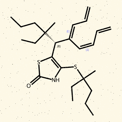 C=C/C=C\C(=C/C=C)[C@H](c1sc(=O)[nH]c1SC(C)(CC)CCC)C(C)(CC)CCC